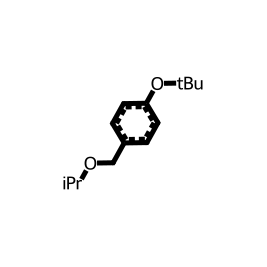 CC(C)OCc1ccc(OC(C)(C)C)cc1